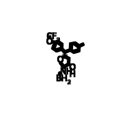 BCN[C@@H]1CO[C@H](C(c2ccc(C)cc2)c2ccc(OC(F)(F)F)cc2)CC1O